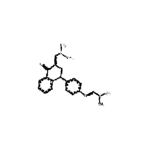 CN(C)/C=N/c1ccc(C2C/C(=C\N(C)C)C(=O)c3ccccc32)cc1